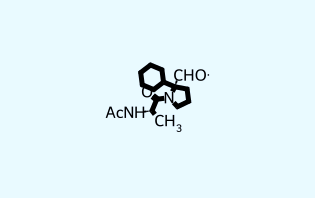 CC(=O)N[C@@H](C)C(=O)N1CCC[C@]1([C]=O)C1CCCCC1